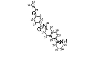 CN(C(=O)c1ccc(OCC2CC2)cc1)C1CCc2cc([C@@H]3CCCCN3)ccc2C1